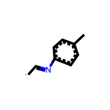 [CH2]C=Nc1ccc(C)cc1